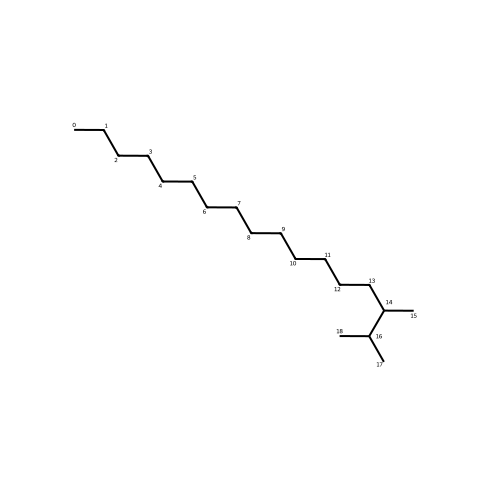 CCCCCCCCCCCCCCC(C)C(C)C